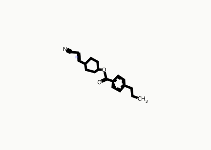 CCCc1ccc(C(=O)OC2CCC(/C=C/C#N)CC2)cc1